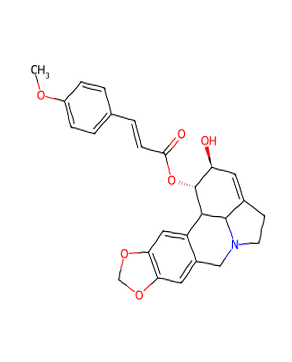 COc1ccc(/C=C/C(=O)O[C@H]2C3c4cc5c(cc4CN4CCC(=C[C@@H]2O)C34)OCO5)cc1